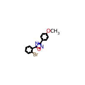 COc1ccc(-c2noc(-c3ccccc3Br)n2)cc1